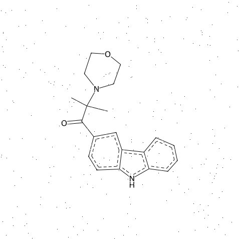 CC(C)(C(=O)c1ccc2[nH]c3ccccc3c2c1)N1CCOCC1